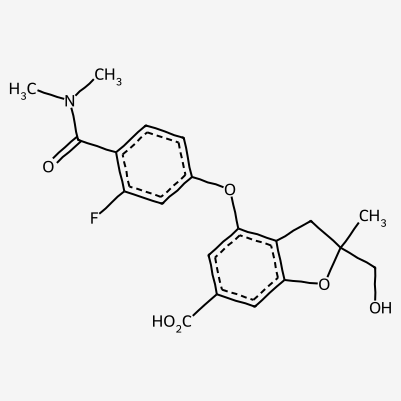 CN(C)C(=O)c1ccc(Oc2cc(C(=O)O)cc3c2CC(C)(CO)O3)cc1F